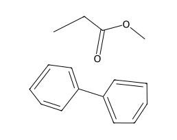 CCC(=O)OC.c1ccc(-c2ccccc2)cc1